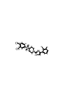 Cc1cccc(-c2csc(N3CCC(S(=O)(=O)c4ccc(Cl)c(Cl)c4)CC3)n2)c1C